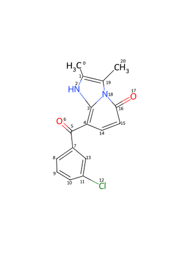 Cc1[nH]c2c(C(=O)c3cccc(Cl)c3)ccc(=O)n2c1C